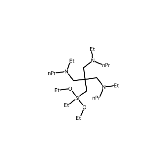 CCCN(CC)CC(CN(CC)CCC)(CN(CC)CCC)C[Si](CC)(OCC)OCC